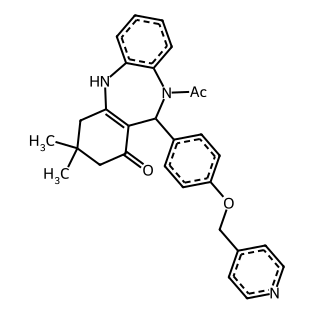 CC(=O)N1c2ccccc2NC2=C(C(=O)CC(C)(C)C2)C1c1ccc(OCc2ccncc2)cc1